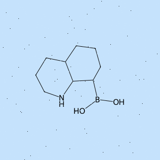 OB(O)C1CCCC2CCCNC21